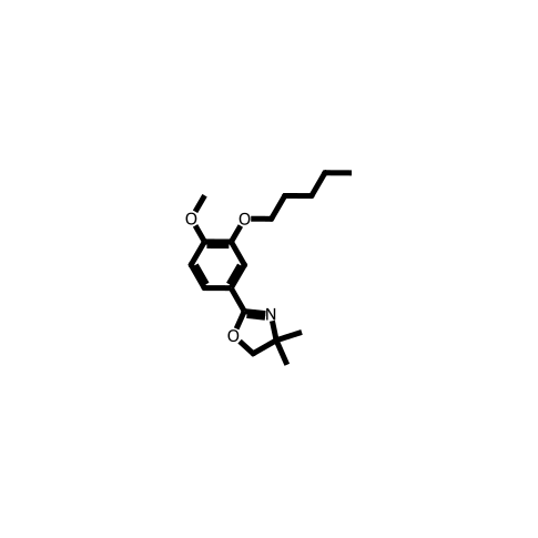 CCCCCOc1cc(C2=NC(C)(C)CO2)ccc1OC